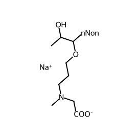 CCCCCCCCCC(OCCCN(C)CC(=O)[O-])C(C)O.[Na+]